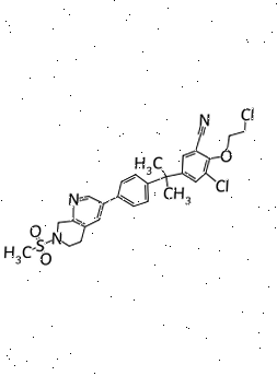 CC(C)(c1ccc(-c2cnc3c(c2)CCN(S(C)(=O)=O)C3)cc1)c1cc(Cl)c(OCCCl)c(C#N)c1